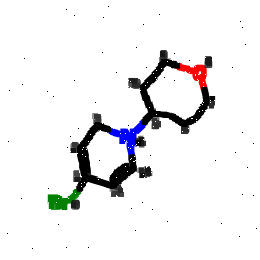 BrC1=CCN(C2CCOCC2)C=C1